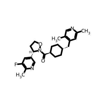 Cc1cc(C[C@H]2CC[C@H](C(=O)N3OCC[C@H]3c3cnc(C)c(F)c3)CC2)c(C)cn1